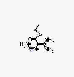 CCOC(=O)C(/N=C\N)=C(N)N